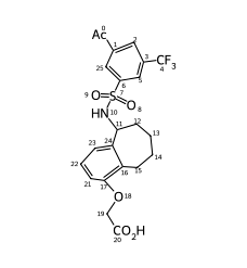 CC(=O)c1cc(C(F)(F)F)cc(S(=O)(=O)NC2CCCCc3c(OCC(=O)O)cccc32)c1